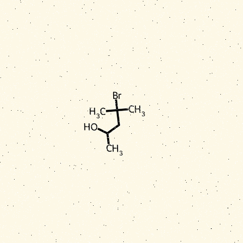 CC(O)CC(C)(C)Br